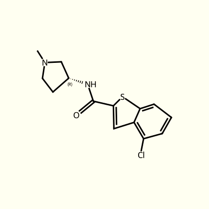 CN1CC[C@@H](NC(=O)c2cc3c(Cl)cccc3s2)C1